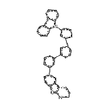 c1cc(-c2cccc(-c3ccc4oc5ncccc5c4c3)c2)cc(-c2cccc(-n3c4ccccc4c4ccccc43)c2)c1